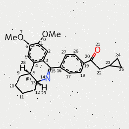 COc1cc2c(cc1OC)[C@H]1CCCC[C@H]1N=C2c1ccc(C(=O)CC2CC2)cc1